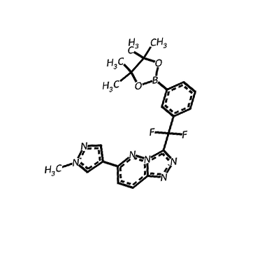 Cn1cc(-c2ccc3nnc(C(F)(F)c4cccc(B5OC(C)(C)C(C)(C)O5)c4)n3n2)cn1